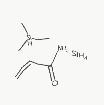 C=CC(N)=O.C[SiH](C)C.[SiH4]